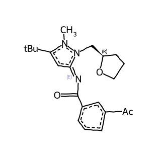 CC(=O)c1cccc(C(=O)/N=c2\cc(C(C)(C)C)n(C)n2C[C@H]2CCCO2)c1